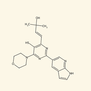 CC(C)(O)/C=C/c1nc(-c2cnc3[nH]ccc3c2)nc(N2CCOCC2)c1S